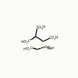 CCCCCCCCCCCC(=O)O.O=C(O)CC(C(=O)O)S(=O)(=O)O.[NaH]